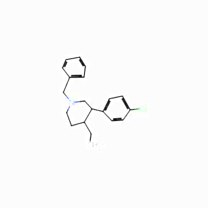 [CH2][CH]C1CCN(Cc2ccccc2)CC1c1ccc(Cl)cc1